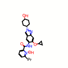 CC(C)c1cccc(C(=O)Nc2cc3cn([C@H]4CC[C@H](O)CC4)nc3cc2OC2CC2)[n+]1O